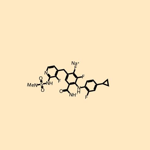 CNS(=O)(=O)Nc1nccc(Cc2cc(C([NH-])=O)c(Nc3ccc(C4CC4)cc3F)c(F)c2F)c1F.[Na+]